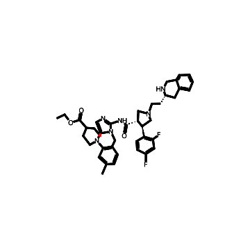 CCOC(=O)C1CCN(c2cc(C)ccc2Cn2ccnc2NC(=O)[C@@H]2CN(CC[C@H]3Cc4ccccc4CN3)C[C@H]2c2ccc(F)cc2F)CC1